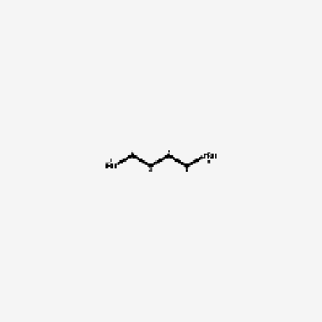 [CH2]C(C)(C)CCCCC(C)CC